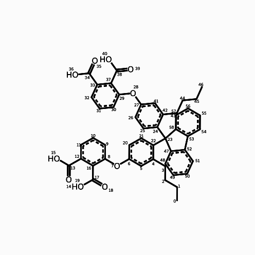 CCCCc1cc(Oc2cccc(C(=O)O)c2C(=O)O)ccc1C1(c2ccc(Oc3cccc(C(=O)O)c3C(=O)O)cc2CCCC)c2ccccc2-c2ccccc21